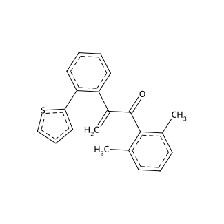 C=C(C(=O)c1c(C)cccc1C)c1ccccc1-c1cccs1